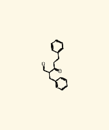 O=CC(Cc1ccccc1)C(=O)CCc1ccccc1